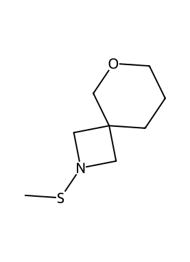 CSN1CC2(CCCOC2)C1